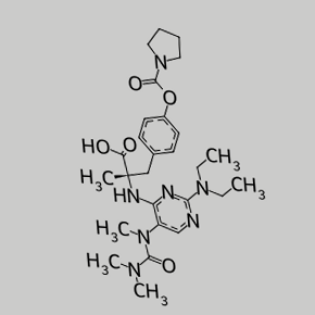 CCN(CC)c1ncc(N(C)C(=O)N(C)C)c(N[C@@](C)(Cc2ccc(OC(=O)N3CCCC3)cc2)C(=O)O)n1